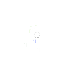 FC(F)(F)c1cccc(N(CCCl)CCCl)c1